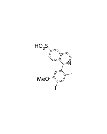 COc1cc(-c2nccc3cc(S(=O)(=O)O)ccc23)c(C)cc1I